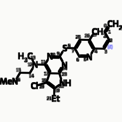 C=C/C=C\c1ncc(Sc2nc(N(C)CCNC)c3c(Cl)c(CC)[nH]c3n2)cc1C